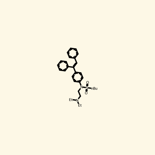 CCCCS(=O)(=O)N(CCN(CC)CC)c1ccc(C(=Cc2ccccc2)c2ccccc2)cc1